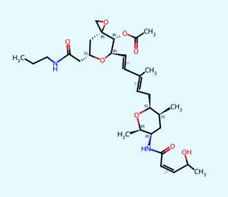 CCCNC(=O)C[C@@H]1C[C@@]2(CO2)[C@H](OC(C)=O)[C@@H](/C=C/C(C)=C/C[C@@H]2O[C@H](C)[C@H](NC(=O)/C=C\C(C)O)C[C@@H]2C)O1